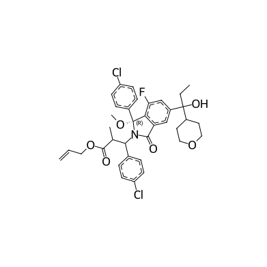 C=CCOC(=O)C(C)C(c1ccc(Cl)cc1)N1C(=O)c2cc(C(O)(CC)C3CCOCC3)cc(F)c2[C@]1(OC)c1ccc(Cl)cc1